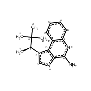 C[C@H](n1cnc2c(N)nc3ccccc3c21)C(C)(C)C